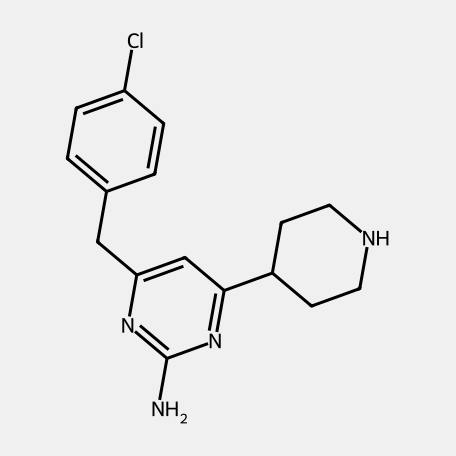 Nc1nc(Cc2ccc(Cl)cc2)cc(C2CCNCC2)n1